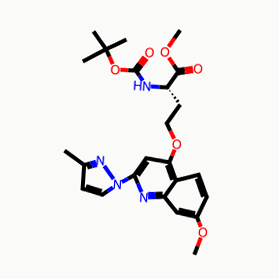 COC(=O)[C@H](CCOc1cc(-n2ccc(C)n2)nc2cc(OC)ccc12)NC(=O)OC(C)(C)C